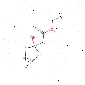 CCOC(=O)CC1(O)CC2CC2C1